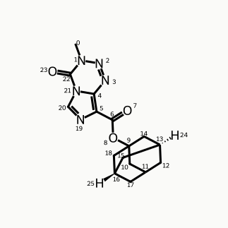 Cn1nnc2c(C(=O)OC34CC5C[C@H](C3)C[C@H](C5)C4)ncn2c1=O